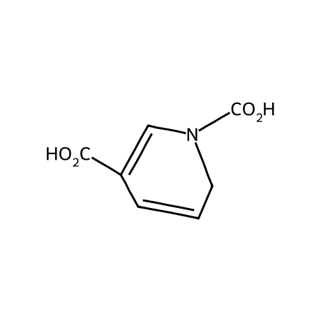 O=C(O)C1=CN(C(=O)O)CC=C1